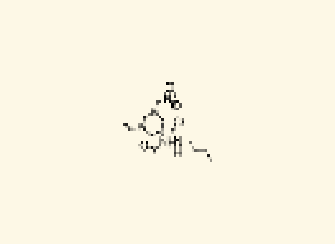 C=C[C@@H]1C[C@@H](C[N+](=O)[O-])CC(NC(C)=O)(C(=O)NCCCC)C1